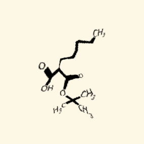 CCCCC[C@H](C(=O)O)C(=O)OC(C)(C)C